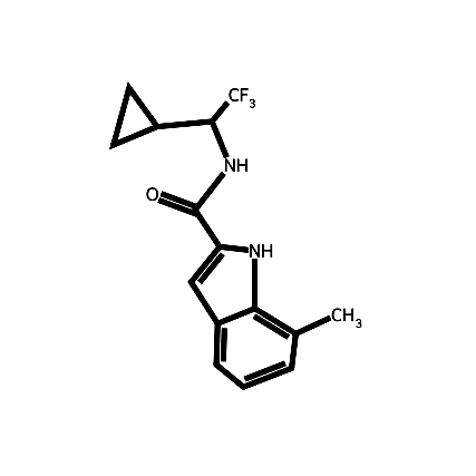 Cc1cccc2cc(C(=O)NC(C3CC3)C(F)(F)F)[nH]c12